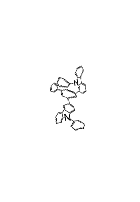 c1ccc(-c2cc(-c3ccc4c(c3)c3ccccc3n4-c3ccccc3)cc(-c3cccc4c5ccccc5n(-c5ccccc5)c34)c2)cc1